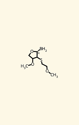 B[C@@H]1OCC(OC)C1SCCOC